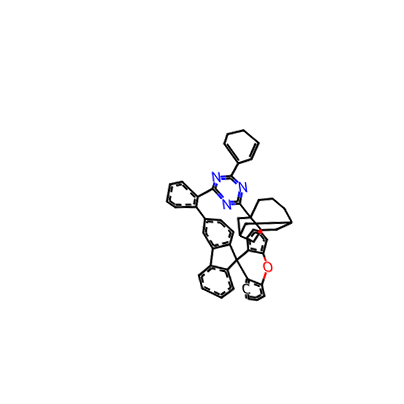 C1=CC(c2nc(-c3ccccc3-c3ccc4c(c3)-c3ccccc3C43c4ccccc4Oc4ccccc43)nc(C34CCCC5CC(CC3C5)C4)n2)=CCC1